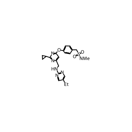 CCc1cnc(NCc2cc(Oc3ccc(CS(=O)(=O)NC)cc3)nc(C3CC3)n2)nc1